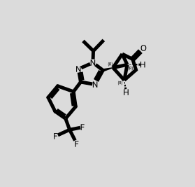 CC(C)n1nc(-c2cccc(C(F)(F)F)c2)nc1[C@]12C3C(=O)C[C@@H]1[C@H]32